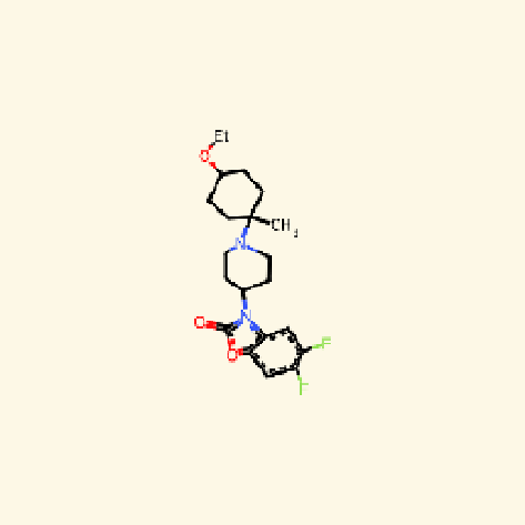 CCOC1CCC(C)(N2CCC(n3c(=O)oc4cc(F)c(F)cc43)CC2)CC1